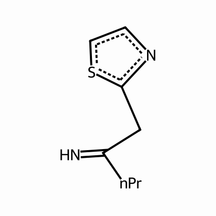 CCCC(=N)Cc1nccs1